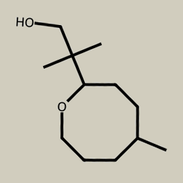 CC1CCCOC(C(C)(C)CO)CC1